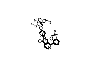 CC(C)(O)COc1ccc(N2Cc3c(ccnc3-c3ccccc3OCC(F)F)C2=O)nc1